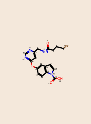 O=C(CCCBr)NCc1cc(Oc2ccc3c(ccn3C(=O)O)c2)ncn1